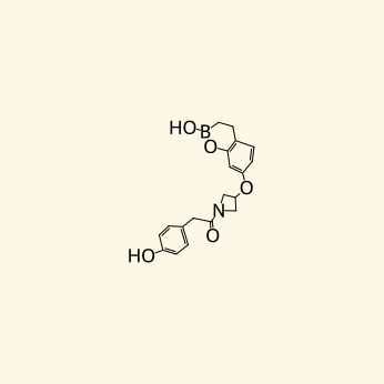 O=C(Cc1ccc(O)cc1)N1CC(Oc2ccc3c(c2)OB(O)CC3)C1